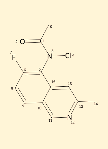 CC(=O)N(Cl)c1c(F)ccc2cnc(C)cc12